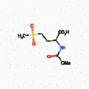 COC(=O)NC(CCS(C)(=O)=O)C(=O)O